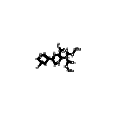 CC(C)(C)OC(=O)N(C(=O)OC(C)(C)C)c1ncc(-c2cncc(F)c2)nc1C(F)F